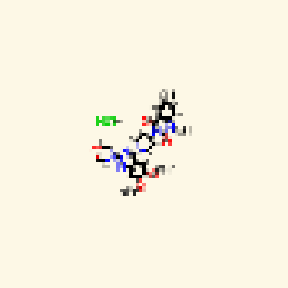 CCCOc1cc2nc(N3CCOCC3)nc(N3CCC(n4c(=O)c5cc(C)ccc5n(C)c4=O)CC3)c2cc1OCCC.Cl